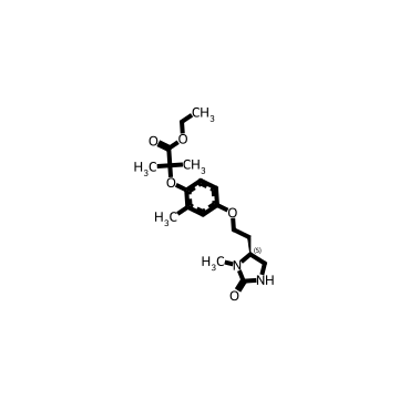 CCOC(=O)C(C)(C)Oc1ccc(OCC[C@H]2CNC(=O)N2C)cc1C